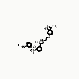 CNc1cccc(S(=O)(=O)Nc2cccc(C(O)CNCCOc3ccc4c(C)n[nH]c4c3)c2)c1